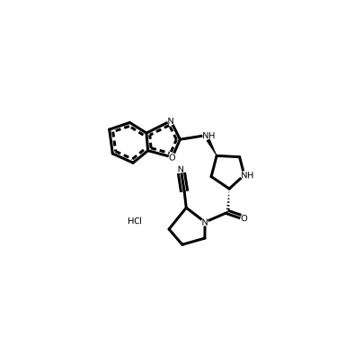 Cl.N#CC1CCCN1C(=O)[C@@H]1C[C@@H](Nc2nc3ccccc3o2)CN1